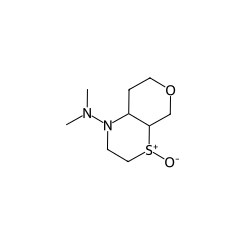 CN(C)N1CC[S+]([O-])C2COCCC21